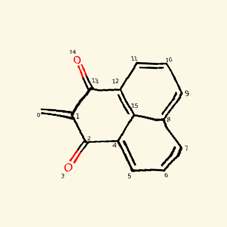 C=c1c(=O)c2cccc3cccc(c1=O)c32